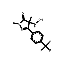 CN1N=C(c2ccc(C(F)(F)F)cc2)C(C)(NO)C1=O